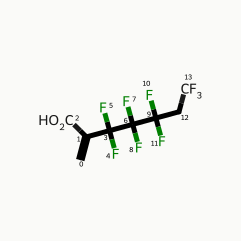 C=C(C(=O)O)C(F)(F)C(F)(F)C(F)(F)CC(F)(F)F